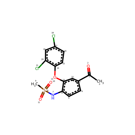 CC(=O)c1ccc(NS(C)(=O)=O)c(Oc2ccc(Cl)cc2Cl)c1